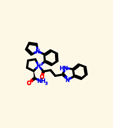 NC(=O)[C@@H]1CCC[N+]1(C(=O)CCc1nc2ccccc2[nH]1)c1ccccc1-n1cccc1